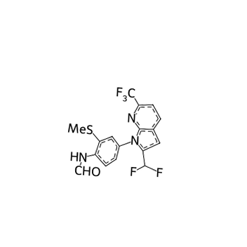 CSc1cc(-n2c(C(F)F)cc3ccc(C(F)(F)F)nc32)ccc1NC=O